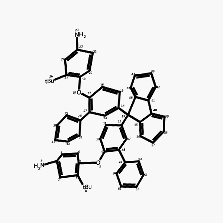 CC(C)(C)c1cc(N)ccc1Oc1ccc(C2(c3ccc(Oc4ccc(N)cc4C(C)(C)C)c(-c4ccccc4)c3)c3ccccc3-c3ccccc32)cc1-c1ccccc1